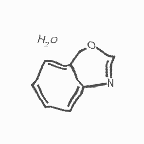 O.c1ccc2ocnc2c1